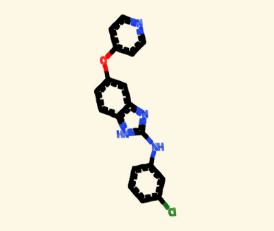 Clc1cccc(Nc2nc3cc(Oc4ccncc4)ccc3[nH]2)c1